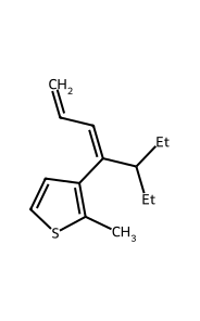 C=C/C=C(\c1ccsc1C)C(CC)CC